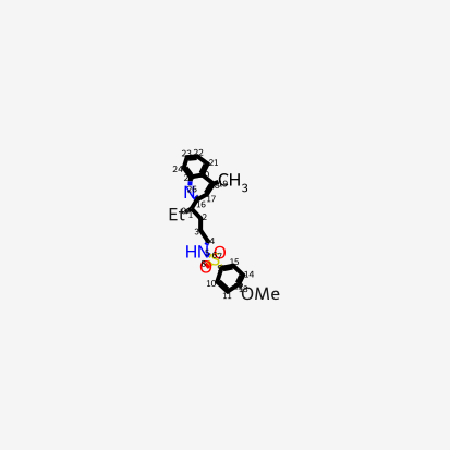 CCC(CCCNS(=O)(=O)c1ccc(OC)cc1)c1cc(C)c2ccccc2n1